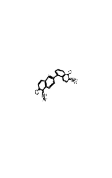 [N-]=[N+]=C1C=Cc2c(cccc2-c2[c]c3c(cc2)C(=[N+]=[N-])C(=O)C=C3)C1=O